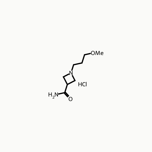 COCCCN1CC(C(N)=O)C1.Cl